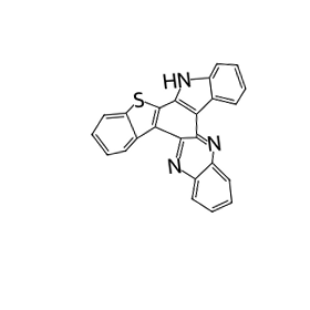 c1ccc2nc3c(nc2c1)c1c2ccccc2[nH]c1c1sc2ccccc2c31